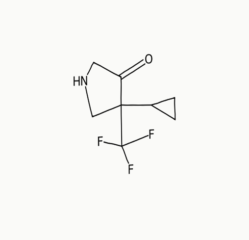 O=C1CNCC1(C1CC1)C(F)(F)F